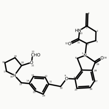 C=C1CCC(N2Cc3c(OCc4ccc(CN5CCCC5OC=O)cc4)cccc3C2=O)C(=O)N1